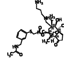 CC(=O)NCc1cccc(SCC(=O)O[C@@H]2C[C@](C)(CNCCCN)[C@@H](O)[C@H](C)[C@]34CCC(=O)[C@H]3[C@@]2(C)[C@H](C)CC4)c1